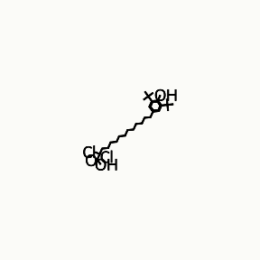 CC(C)(C)c1cc(CCCCCCCCCCCCC(Cl)(Cl)C(=O)O)cc(C(C)(C)C)c1O